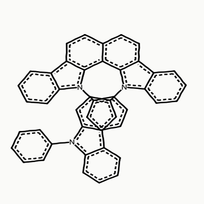 c1ccc(-n2c3ccccc3c3cc(-n4c5ccccc5c5ccc6ccc7c8ccccc8n(-c8ccccc8)c7c6c54)ccc32)cc1